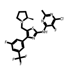 Cc1nc(Cl)c(F)c(Nc2nc(-c3cc(F)cc(C(F)(F)F)c3)c(CN3CCC[C@H]3C)s2)n1